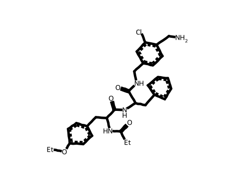 CCOc1ccc(CC(NC(=O)CC)C(=O)NC(Cc2ccccc2)C(=O)NCc2ccc(CN)c(Cl)c2)cc1